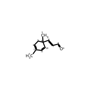 CC1=CCC(C)(C=CC=O)C=C1